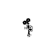 C[N+](C)(C)CCCC[C@H](NC(=O)OCC1c2ccccc2-c2ccccc21)C(=O)Cl